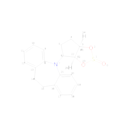 O=S1O[C@@H]2CCC(N3c4ccccc4CCc4ccccc43)[C@@H]2O1